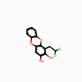 Oc1cc2c(c(CC(Cl)Cl)c1O)Oc1ccccc1O2